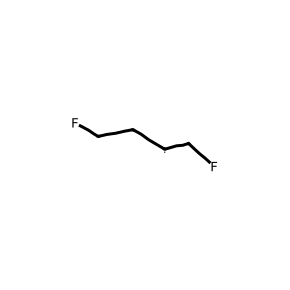 FC[CH]CCF